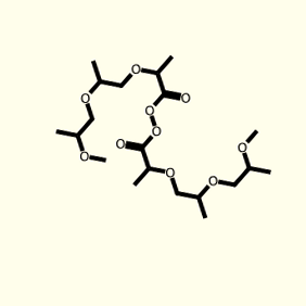 COC(C)COC(C)COC(C)C(=O)OOC(=O)C(C)OCC(C)OCC(C)OC